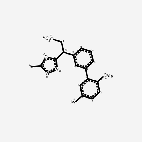 COc1ccc(C(C)C)cc1-c1cccc(C(CC(=O)O)c2nnc(C)o2)c1